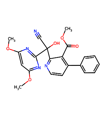 COC(=O)c1c(-c2ccccc2)ccnc1C(O)(C#N)c1nc(OC)cc(OC)n1